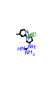 Cc1ccnc(N2CCC(NC(=N)N)C2)c1.Cl.Cl